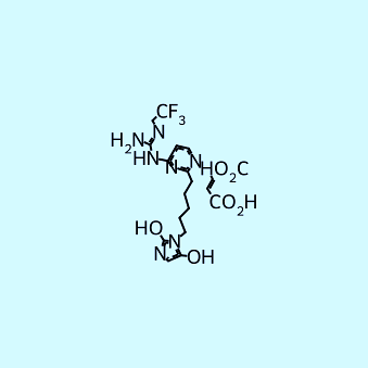 NC(=NCC(F)(F)F)Nc1ccnc(CCCCCn2c(O)cnc2O)n1.O=C(O)C=CC(=O)O